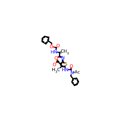 CC(=O)N(Cc1ccccc1)C(=O)Nc1sc2nc([C@H](C)NC(=O)OCc3ccccc3)oc(=O)c2c1C